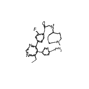 CCc1ncnc(-c2ccc(C(=O)N(C)C3CCN(C)CC3)c(F)c2)c1-c1ccc(N)nc1